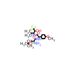 COc1ccc([C@H](NC(=O)C(N)COC(C)(C)C)C(=O)N[C@@H](C(C)C)[C@H](O)C(F)(F)F)cc1